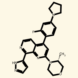 C[C@@H]1COCCN1c1cc(-c2ccc(N3CCCC3)cc2F)c2ccnc(-c3ccn[nH]3)c2n1